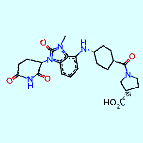 Cn1c(=O)n(C2CCC(=O)NC2=O)c2cccc(N[C@H]3CC[C@H](C(=O)N4CC[C@H](C(=O)O)C4)CC3)c21